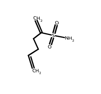 C=CCCC(=C)S(N)(=O)=O